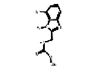 CCn1c(CNC(=O)OC(C)(C)C)nc2cccc(Br)c21